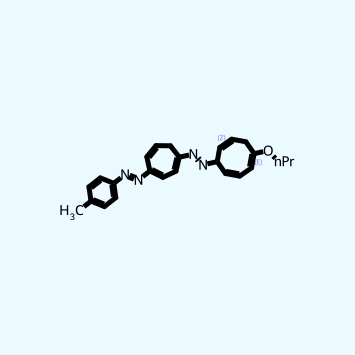 CCCO/C1=C/C=CC(N=NC2=CC=C(N=Nc3ccc(C)cc3)C=CC2)/C=C\C1